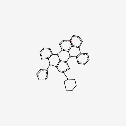 c1ccc(-c2ccccc2N2c3ccccc3B3c4ccccc4N(c4ccccc4)c4cc(C5CCCCC5)cc2c43)cc1